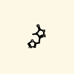 Cn1c(Cc2cnco2)noc1=O